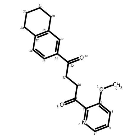 COc1cccnc1C(=O)CCC(=O)c1ccc2c(c1)CCCC2